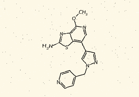 COc1ncc(-c2cnn(Cc3ccncc3)c2)c2sc(N)nc12